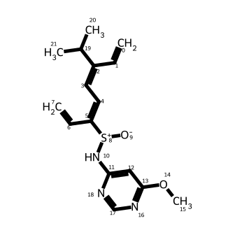 C=C/C(=C\C=C(/C=C)[S+]([O-])Nc1cc(OC)ncn1)C(C)C